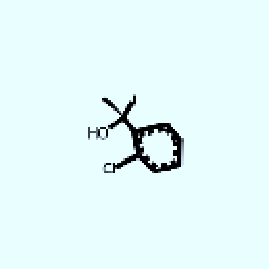 C[C@@](O)(I)c1ccccc1Cl